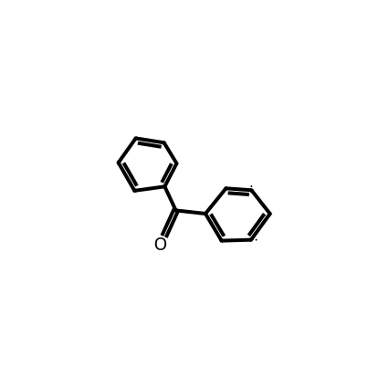 O=C(c1c[c]c[c]c1)c1ccccc1